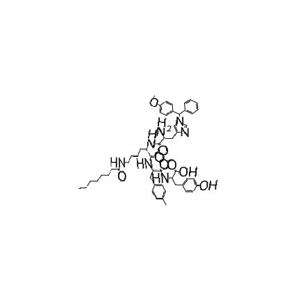 CCCCCCCC(=O)NCCCCC(NC(=O)C(N)Cc1cn(C(c2ccccc2)c2ccc(OC)cc2)cn1)C(=O)NC(Cc1ccc(C)cc1)C(=O)NC(Cc1ccc(O)cc1)C(=O)O